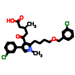 C[C@H](CC(=O)O)CC(=O)c1c(-c2cccc(Cl)c2)cn(C)c1CCCCOCc1cccc(Cl)c1